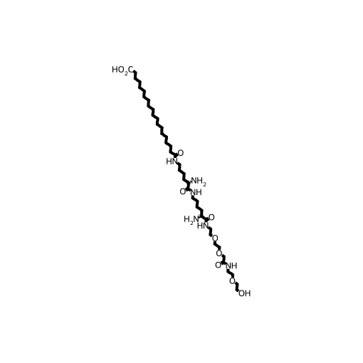 N[C@@H](CCCCNC(=O)CCCCCCCCCCCCCCCCCCC(=O)O)C(=O)NCCCC[C@H](N)C(=O)NCCOCCOCC(=O)NCCOCCO